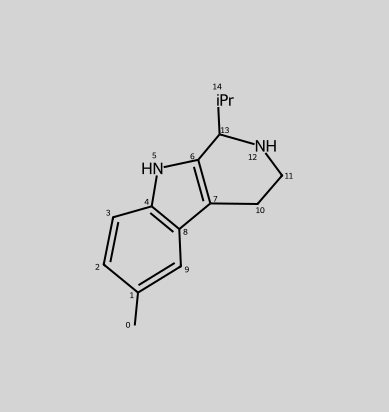 Cc1ccc2[nH]c3c(c2c1)CCNC3C(C)C